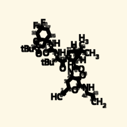 C#CCCC(NC(=O)[C@@H]1[C@@H]2[C@H](CN1C(=O)[C@@H](NC(=O)NC1(CS(=O)(=O)C(C)(C)C)CCC(F)(F)CC1)C(C)(C)C)C2(C)C)C(=O)C(=O)NCC=C